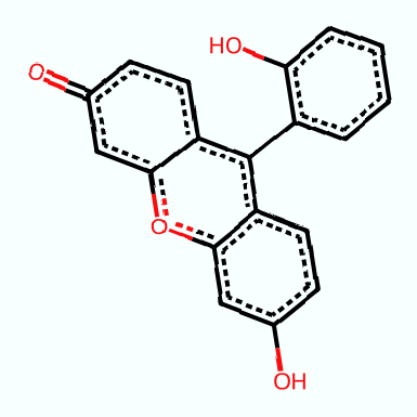 O=c1ccc2c(-c3ccccc3O)c3ccc(O)cc3oc-2c1